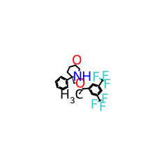 C[C@@H](OC[C@@]1(c2ccccc2)CCC(=O)CN1)c1cc(C(F)(F)F)cc(C(F)(F)F)c1